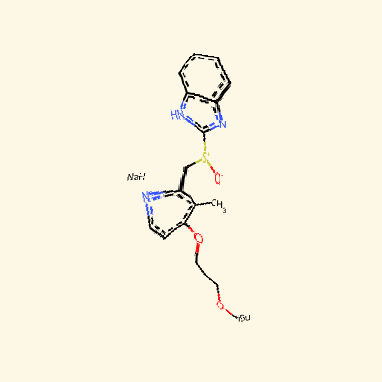 CCC(C)OCCOc1ccnc(C[S+]([O-])c2nc3ccccc3[nH]2)c1C.[NaH]